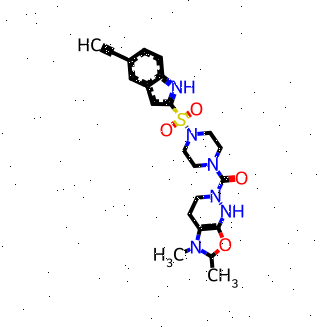 C#Cc1ccc2[nH]c(S(=O)(=O)N3CCN(C(=O)N4CCC5=C(N4)OC(C)N5C)CC3)cc2c1